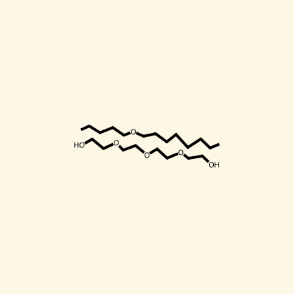 CCCCCCCCOCCCCC.OCCOCCOCCOCCO